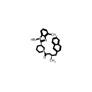 CCCCn1c([C@@H]2CCCN(C(=O)C[C@H](C)Cc3ccc4ccccc4c3)C2)nc2c(C)cccc21